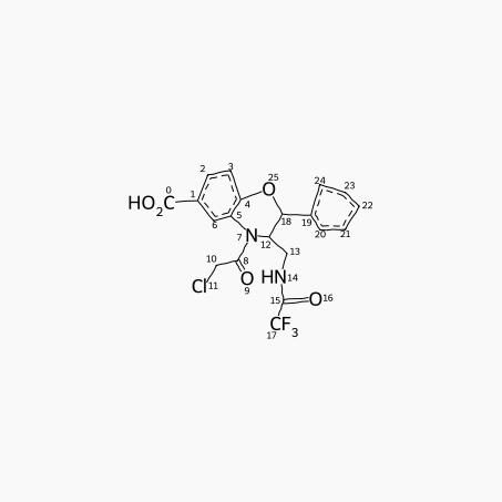 O=C(O)c1ccc2c(c1)N(C(=O)CCl)C(CNC(=O)C(F)(F)F)C(c1ccccc1)O2